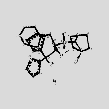 C[N+](C)(CCC1CCOCC1)C1C2CC[C@@H]1[C@H](OC(=O)C(O)(c1cccs1)c1cccs1)C2.[Br-]